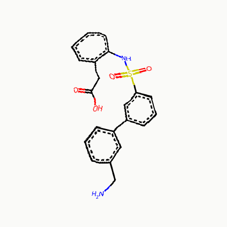 NCc1cccc(-c2cccc(S(=O)(=O)Nc3ccccc3CC(=O)O)c2)c1